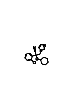 N#CC(Cn1ccnc1)(OC1CCCCC1)c1ccccc1Cl